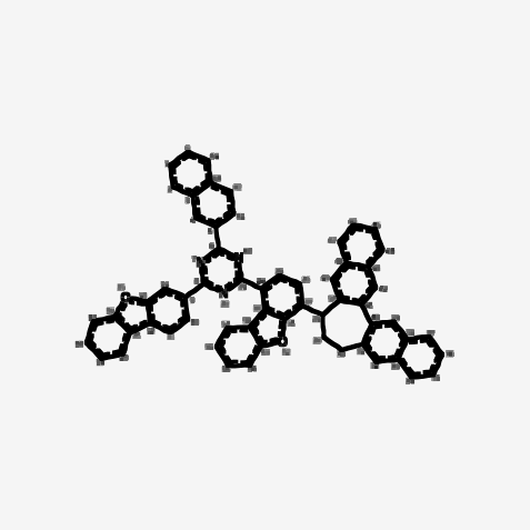 c1ccc2cc(-c3nc(-c4ccc5c(c4)oc4ccccc45)nc(-c4ccc(C5CCc6cc7ccccc7cc6-c6cc7ccccc7cc65)c5oc6ccccc6c45)n3)ccc2c1